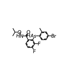 Cc1cc(Br)ccc1[AsH]c1c(C(=O)NOC(C)C)ccc(F)c1F